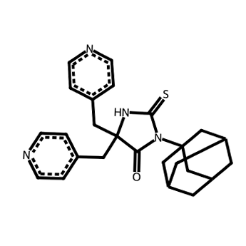 O=C1N(C23CC4CC(CC(C4)C2)C3)C(=S)NC1(Cc1ccncc1)Cc1ccncc1